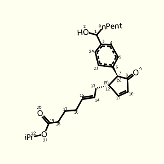 CCCCCC(O)c1ccc([C@H]2C(=O)C=C[C@@H]2CC=CCCCC(=O)OC(C)C)cc1